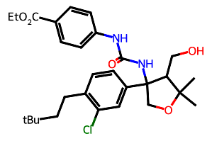 CCOC(=O)c1ccc(NC(=O)NC2(c3ccc(CCC(C)(C)C)c(Cl)c3)COC(C)(C)C2CO)cc1